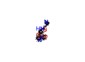 O=C(/C=C/c1cccnc1)Nc1ccc(S(=O)(=O)c2cccnc2N2CCOCC2)cc1